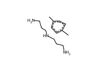 Cc1ccc(C)cc1.NCCCNCCCN